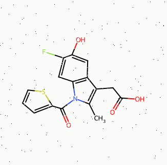 Cc1c(CC(=O)O)c2cc(O)c(F)cc2n1C(=O)c1cccs1